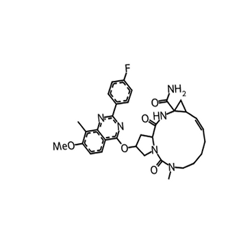 COc1ccc2c(OC3CC4C(=O)NC5(C(N)=O)CC5C=CCCCCN(C)C(=O)N4C3)nc(-c3ccc(F)cc3)nc2c1C